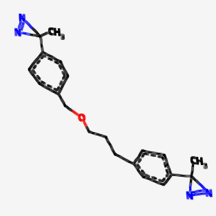 CC1(c2ccc(CCCOCc3ccc(C4(C)N=N4)cc3)cc2)N=N1